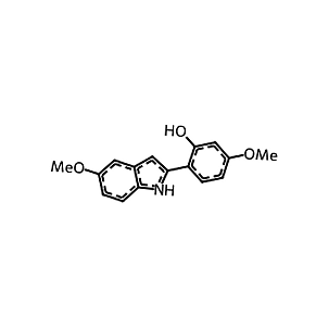 COc1ccc(-c2cc3cc(OC)ccc3[nH]2)c(O)c1